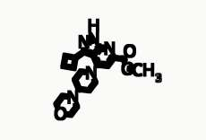 COC(=O)c1cc(N2CCC(N3CCOCC3)CC2)c2c(C3CCC3)n[nH]c2n1